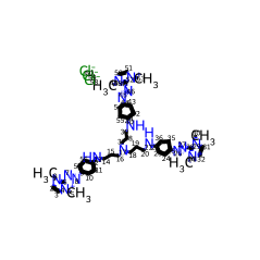 Cn1cc[n+](C)c1/N=N/c1ccc(NCCCN(CCCNc2ccc(/N=N/c3n(C)cc[n+]3C)cc2)CCCNc2ccc(/N=N/c3n(C)cc[n+]3C)cc2)cc1.[Cl-].[Cl-].[Cl-]